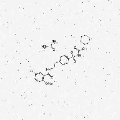 COc1ccc(Cl)cc1C(=O)NCCc1ccc(S(=O)(=O)NC(=O)NC2CCCCC2)cc1.NC(N)=O